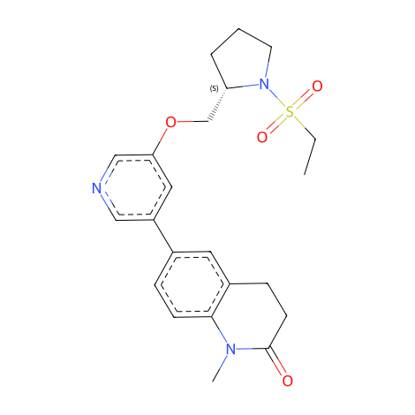 CCS(=O)(=O)N1CCC[C@H]1COc1cncc(-c2ccc3c(c2)CCC(=O)N3C)c1